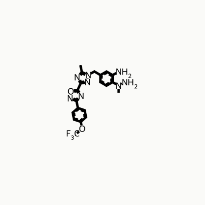 Cc1nc(-c2nc(-c3ccc(OC(F)(F)F)cc3)no2)nn1Cc1ccc(N(C)N)c(N)c1